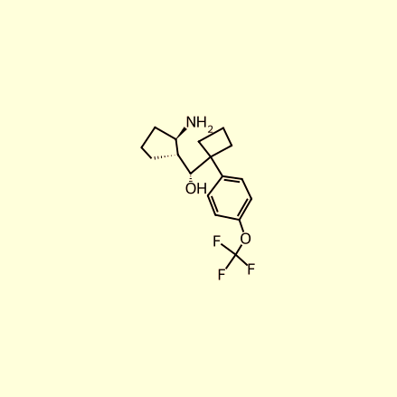 N[C@@H]1CCC[C@H]1[C@@H](O)C1(c2ccc(OC(F)(F)F)cc2)CCC1